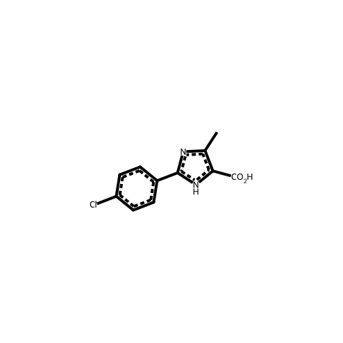 Cc1nc(-c2ccc(Cl)cc2)[nH]c1C(=O)O